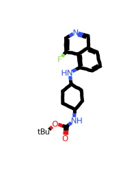 CC(C)(C)OC(=O)NC1CCC(Nc2cccc3cncc(F)c23)CC1